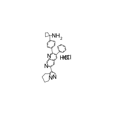 Cl.Cl.NC1(c2ccc(-c3nc4cnc(-c5cnn6c5CCCC6)cc4cc3-c3ccccc3)cc2)CCC1